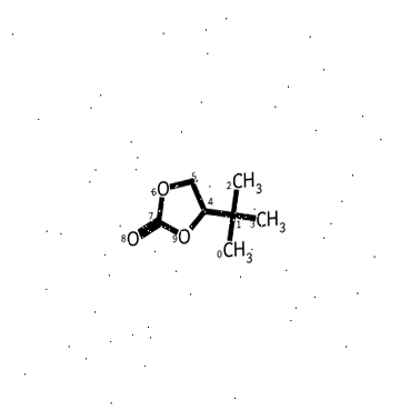 CC(C)(C)C1[CH]OC(=O)O1